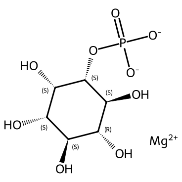 O=P([O-])([O-])O[C@@H]1[C@@H](O)[C@H](O)[C@@H](O)[C@H](O)[C@@H]1O.[Mg+2]